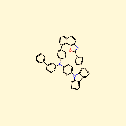 c1ccc(-c2cccc(N(c3ccc(-c4cccc5ccc6nc(-c7ccccc7)oc6c45)cc3)c3ccc(-n4c5ccccc5c5ccccc54)cc3)c2)cc1